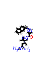 C=C(C)/C(CNC(=O)c1cnn(Cc2ccc3ccccc3c2)c1)=C(/C)C=C(N)N